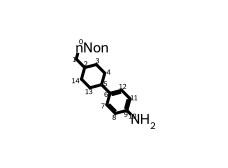 CCCCCCCCCCC1CCC(c2ccc(N)cc2)CC1